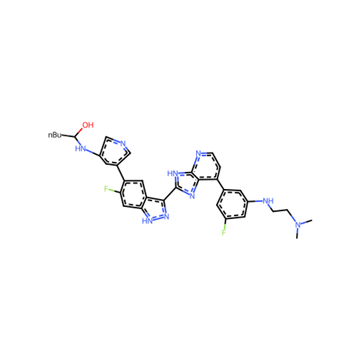 CCCCC(O)Nc1cncc(-c2cc3c(-c4nc5c(-c6cc(F)cc(NCCN(C)C)c6)ccnc5[nH]4)n[nH]c3cc2F)c1